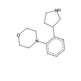 c1ccc(N2CCOCC2)c(C2CCNC2)c1